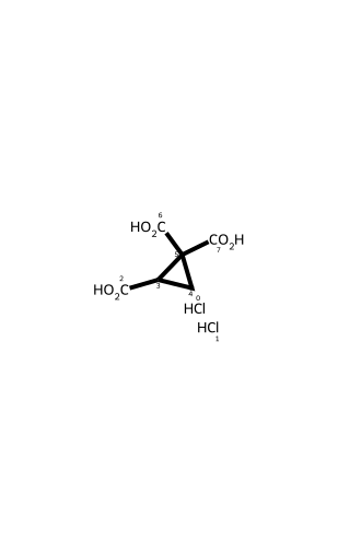 Cl.Cl.O=C(O)C1CC1(C(=O)O)C(=O)O